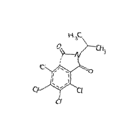 CC(C)N1C(=O)c2c(Cl)c(Cl)c(Cl)c(Cl)c2C1=O